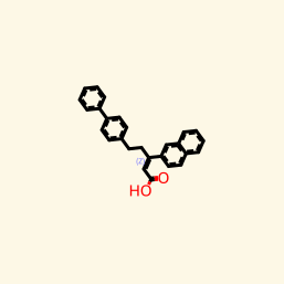 O=C(O)/C=C(/CCc1ccc(-c2ccccc2)cc1)c1ccc2ccccc2c1